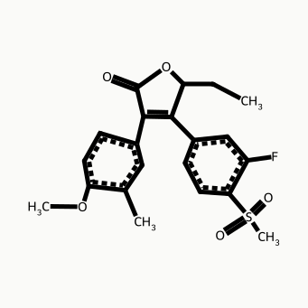 CCC1OC(=O)C(c2ccc(OC)c(C)c2)=C1c1ccc(S(C)(=O)=O)c(F)c1